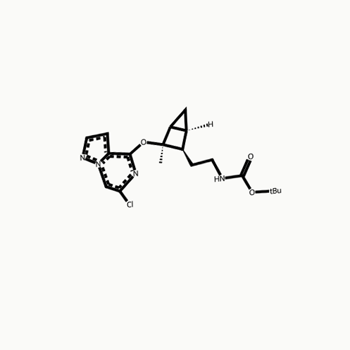 CC(C)(C)OC(=O)NCC[C@@H]1[C@@H]2CC2[C@]1(C)Oc1nc(Cl)cn2nccc12